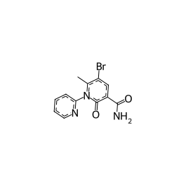 Cc1c(Br)cc(C(N)=O)c(=O)n1-c1ccccn1